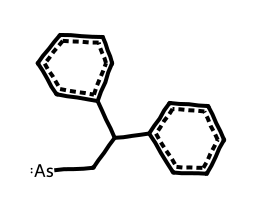 [As]CC(c1ccccc1)c1ccccc1